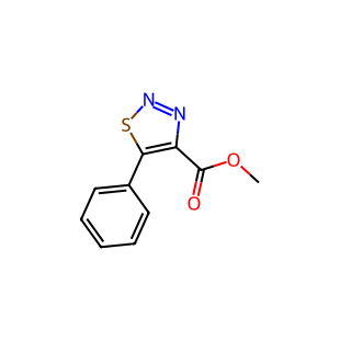 COC(=O)c1nnsc1-c1ccccc1